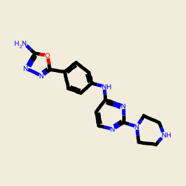 Nc1nnc(-c2ccc(Nc3ccnc(N4CCNCC4)n3)cc2)o1